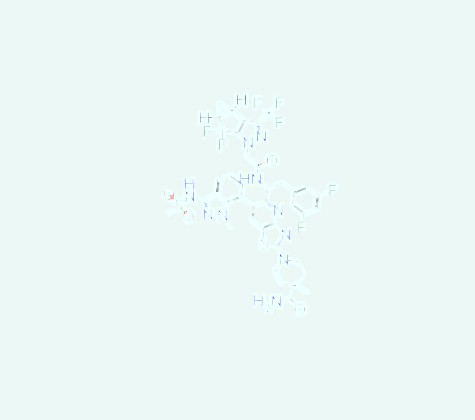 Cn1nc(NS(C)(=O)=O)c2cccc(-c3cc4sc(N5CCC(C)(C(N)=O)CC5)nc4nc3C(Cc3cc(F)cc(F)c3)NC(=O)Cn3nc(C(F)(F)F)c4c3C(F)(F)[C@@H]3C[C@H]43)c21